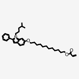 C=CC(=O)OCCCCCCCCCCCCOc1ccc2cc(-c3ccccc3)n(CCCC(C)C)c2c1